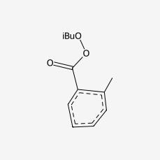 Cc1ccccc1C(=O)OO[CH]C(C)C